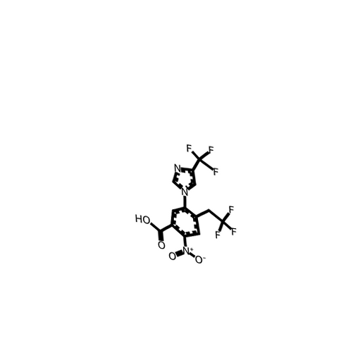 O=C(O)c1cc(-n2cnc(C(F)(F)F)c2)c(CC(F)(F)F)cc1[N+](=O)[O-]